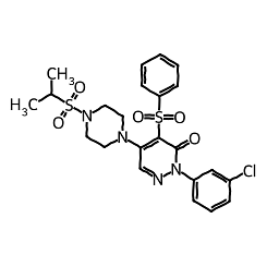 CC(C)S(=O)(=O)N1CCN(c2cnn(-c3cccc(Cl)c3)c(=O)c2S(=O)(=O)c2ccccc2)CC1